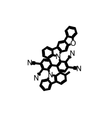 CC1C=Cc2c(n(-c3c(-c4ccc(C#N)c(C#N)c4-n4c5ccccc5c5cc6c(cc54)oc4ccccc46)ccc(C#N)c3C#N)c3ccccc23)C1